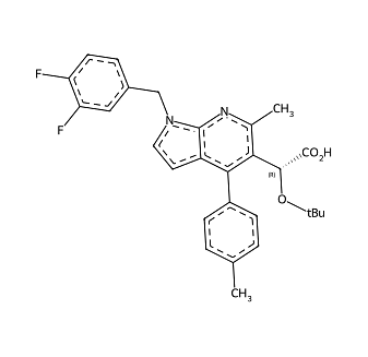 Cc1ccc(-c2c([C@@H](OC(C)(C)C)C(=O)O)c(C)nc3c2ccn3Cc2ccc(F)c(F)c2)cc1